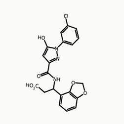 O=C(O)CC(NC(=O)c1cc(O)n(-c2cccc(Cl)c2)n1)c1cccc2c1OCO2